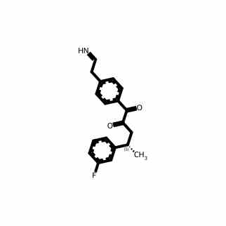 C[C@@H](CC(=O)C(=O)c1ccc(CC=N)cc1)c1cccc(F)c1